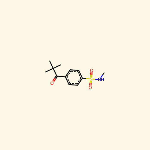 CNS(=O)(=O)c1ccc(C(=O)C(C)(C)C)cc1